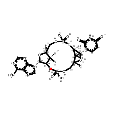 Nc1ncnc2c1ncn2[C@@H]1O[C@@H]2COP(=O)(S)O[C@@H]3[C@H](F)[C@@H](COP(=O)(O)O[C@@H]1[C@@H]2F)O[C@H]3n1ccc(=O)[nH]c1=O